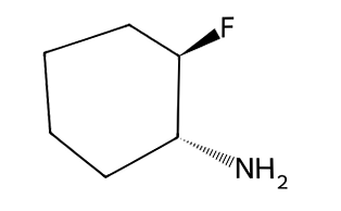 N[C@@H]1CCCC[C@H]1F